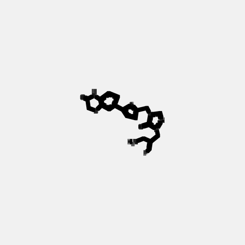 NC/C(=C\F)Cn1ncn(Cc2ccc(-c3ccc4c(c3)SCC(=O)N4)s2)c1=O